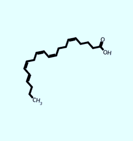 CCC/C=C/C=C\C/C=C\C=C/CC/C=C\CCCC(=O)O